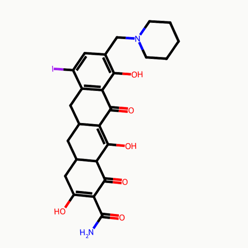 NC(=O)C1=C(O)CC2CC3Cc4c(I)cc(CN5CCCCC5)c(O)c4C(=O)C3=C(O)C2C1=O